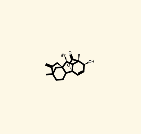 C=C1C[C@]23CC1(C)CCC2[C@@]12C=C[C@H](O)[C@@](C)(C(=O)O1)C2[C@@H]3C(C)C